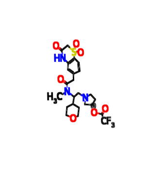 CN(C(=O)Cc1ccc2c(c1)NC(=O)CS2(=O)=O)C(CN1CC[C@H](OC(=O)C(F)(F)F)C1)C1CCOCC1